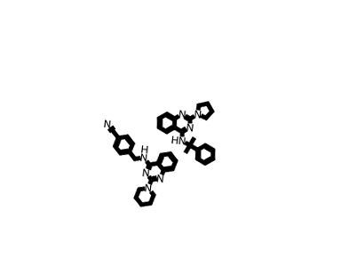 CC(C)(Nc1nc(N2CCCC2)nc2ccccc12)c1ccccc1.N#Cc1ccc(CNc2nc(N3CCCCC3)nc3ccccc23)cc1